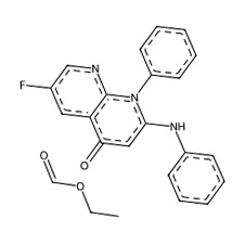 CCOC=O.O=c1cc(Nc2ccccc2)n(-c2ccccc2)c2ncc(F)cc12